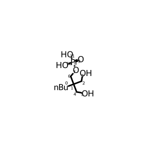 CCCCC(CO)(CO)COP(=O)(O)O